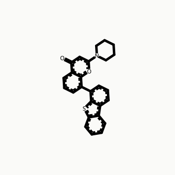 O=c1cc(N2CCCCC2)oc2c(-c3cccc4c3sc3ccccc34)cccc12